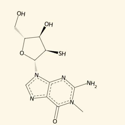 Cn1c(N)nc2c(ncn2[C@@H]2O[C@H](CO)[C@@H](O)[C@H]2S)c1=O